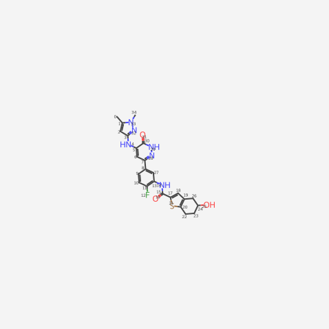 Cc1cc(Nc2cc(-c3ccc(F)c(NC(=O)c4cc5c(s4)CCC(O)C5)c3)n[nH]c2=O)nn1C